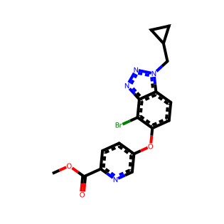 COC(=O)c1ccc(Oc2ccc3c(nnn3CC3CC3)c2Br)cn1